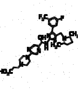 C[C@@H]1CC[C@@H](C)N1Cc1sc(NC(O)c2cnc(N3CCN(CCC(=O)O)CC3)cn2)nc1-c1cc(F)cc(C(F)(F)F)c1